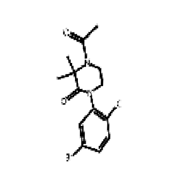 CC(=O)N1CCN(c2cc(Br)ccc2Cl)C(=O)C1(C)C